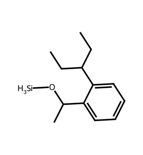 CCC(CC)c1ccccc1C(C)O[SiH3]